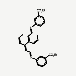 C\C=C/C(=C/C=N/c1cccc(C(=O)OCC)c1)C(/C=C\C)=C/C=N/c1cccc(C(=O)OCC)c1